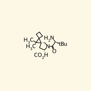 CC(C)(C)[C@H](N)C(=O)N1C[C@]2(C[C@H]1C(=O)O)C(C)(C)C21CCC1